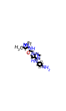 CCn1nc(C)cc1NC(=O)Cn1ccc2c(Nc3ccc(N)cc3)ncnc21